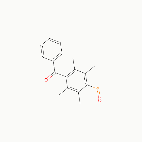 Cc1c(C)c(C(=O)c2ccccc2)c(C)c(C)c1P=O